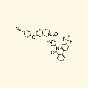 Cn1cc(NC(=O)c2ccccc2-c2ccc(C(F)(F)F)cc2)cc1C(=O)N1CCc2ccc(Oc3ccc(C#N)cc3)cc2C1